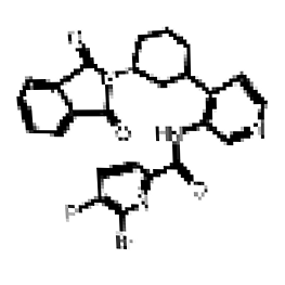 O=C(Nc1cnccc1C1CCC[C@H](N2C(=O)c3ccccc3C2=O)C1)c1ccc(F)c(Br)n1